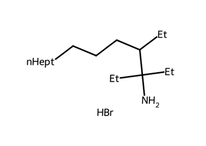 Br.CCCCCCCCCCC(CC)C(N)(CC)CC